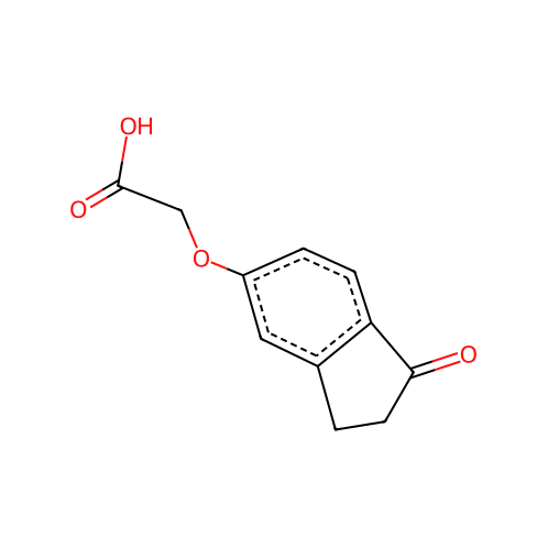 O=C(O)COc1ccc2c(c1)CCC2=O